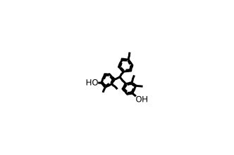 Cc1ccc(C(c2ccc(O)c(C)c2C)c2ccc(O)c(C)c2C)cc1